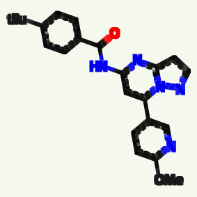 COc1ccc(-c2cc(NC(=O)c3ccc(C(C)(C)C)cc3)nc3ccnn23)cn1